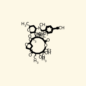 C#Cc1ccc(CN(C)[C@H]2C[C@@H](C)O[C@@H](O[C@@H]3[C@@H](C)[C@H](O)[C@@H](C)C(=O)O[C@H](CC)[C@@](C)(O)[C@H](O)[C@@H](C)C(=O)[C@@H]4CO[C@]3(C)C4)[C@H]2OC(C)=O)cc1